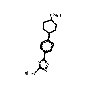 CCCCCCc1nnc(-c2ccc(C3CCC(CCCCC)CC3)cc2)s1